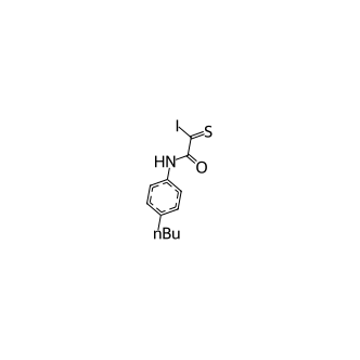 CCCCc1ccc(NC(=O)C(=S)I)cc1